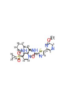 CCOc1cncc(-c2cnc(C(=O)N[C@H](CC3CCCCN3)c3cc(S(=O)(=O)C4CC4)ccn3)s2)n1